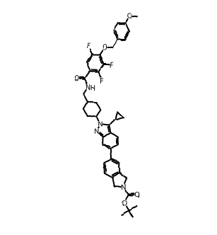 COc1ccc(COc2c(F)cc(C(=O)NCC3CCC(n4nc5cc(-c6ccc7c(c6)CN(C(=O)OC(C)(C)C)C7)ccc5c4C4CC4)CC3)c(F)c2F)cc1